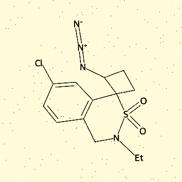 CCN1Cc2ccc(Cl)cc2C2(CCC2N=[N+]=[N-])S1(=O)=O